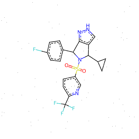 O=S(=O)(c1ccc(C(F)(F)F)nc1)N1C(c2ccc(F)cc2)c2n[nH]cc2C1C1CC1